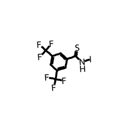 FC(F)(F)c1cc(C(=S)NI)cc(C(F)(F)F)c1